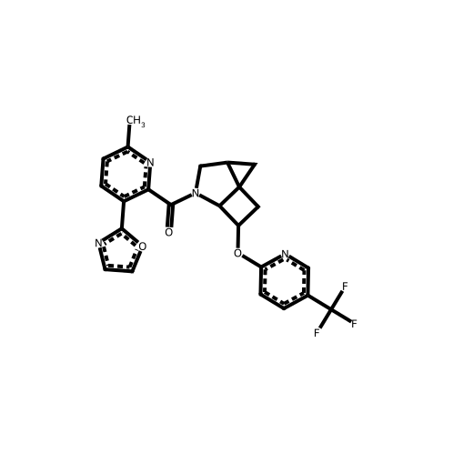 Cc1ccc(-c2ncco2)c(C(=O)N2CC3CC34CC(Oc3ccc(C(F)(F)F)cn3)C24)n1